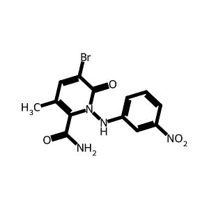 Cc1cc(Br)c(=O)n(Nc2cccc([N+](=O)[O-])c2)c1C(N)=O